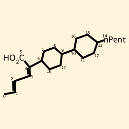 CC=CC=C(C(=O)O)C1CCC(C2CCC(CCCCC)CC2)CC1